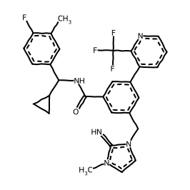 Cc1cc(C(NC(=O)c2cc(Cn3ccn(C)c3=N)cc(-c3cccnc3C(F)(F)F)c2)C2CC2)ccc1F